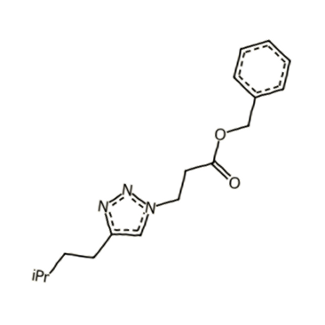 CC(C)CCc1cn(CCC(=O)OCc2ccccc2)nn1